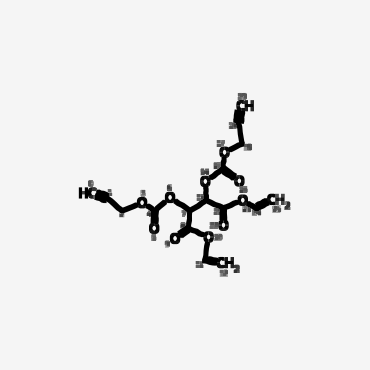 C#CCOC(=O)OC(C(=O)OC=C)C(OC(=O)OCC#C)C(=O)OC=C